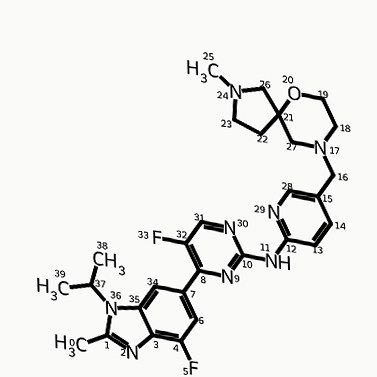 Cc1nc2c(F)cc(-c3nc(Nc4ccc(CN5CCOC6(CCN(C)C6)C5)cn4)ncc3F)cc2n1C(C)C